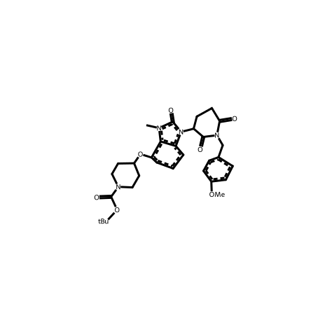 COc1ccc(CN2C(=O)CCC(n3c(=O)n(C)c4c(OC5CCN(C(=O)OC(C)(C)C)CC5)cccc43)C2=O)cc1